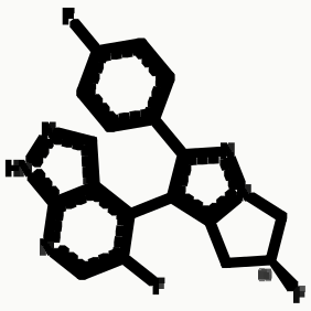 Fc1ccc(-c2nn3c(c2-c2c(F)cnc4[nH]ncc24)C[C@H](F)C3)cc1